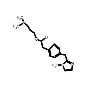 CN(C)CCCOC(Cl)Cc1ccc(Cc2nccn2C)cc1